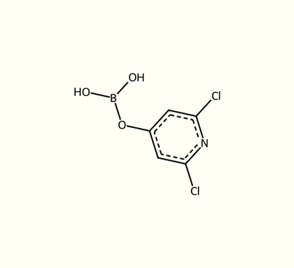 OB(O)Oc1cc(Cl)nc(Cl)c1